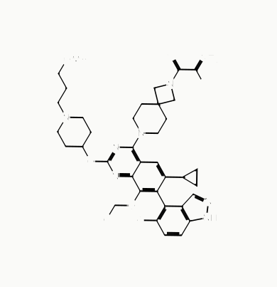 C=C(F)C(=O)N1CC2(CCN(c3nc(OC4CCN(CCCOC)CC4)nc4c(OCC(F)(F)F)c(-c5c(C)ccc6[nH]ncc56)c(C5CC5)cc34)CC2)C1